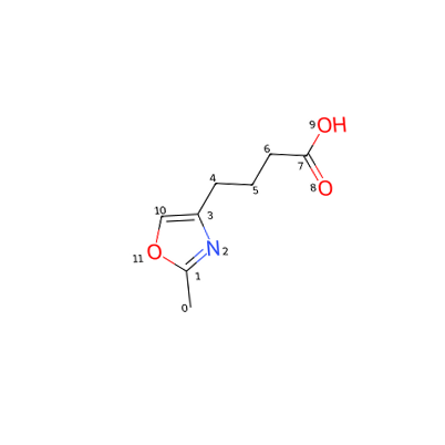 Cc1nc(CCCC(=O)O)co1